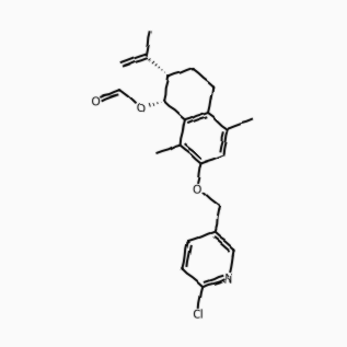 C=C(C)[C@@H]1CCc2c(C)cc(OCc3ccc(Cl)nc3)c(C)c2[C@@H]1OC=O